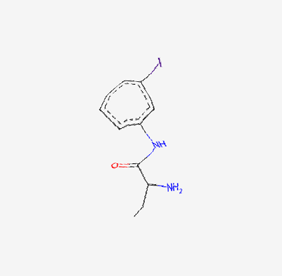 CC(N)C(=O)Nc1cccc(I)c1